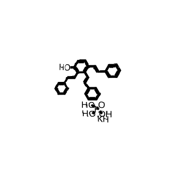 O=P(O)(O)O.Oc1ccc(C=Cc2ccccc2)c(C=Cc2ccccc2)c1C=Cc1ccccc1.[KH]